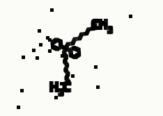 CCCCCCCCCC(CCCCCCCCC)(c1ccccc1)c1ccccc1